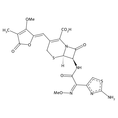 CO/N=C(\C(=O)N[C@@H]1C(=O)N2C(C(=O)O)=C(/C=C3\OC(=O)C(C)=C3OC)CS[C@H]12)c1csc(N)n1